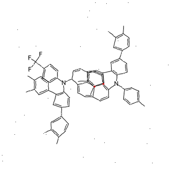 Cc1ccc(N(C2=C3C=CC4=C5C(=CC=C(C=C2)C35)C(N(c2ccc(C(F)(F)F)cc2)c2ccc(-c3ccc(C)c(C)c3)cc2-c2ccc(C)c(C)c2)C=C4)c2ccc(-c3ccc(C)c(C)c3)cc2-c2ccc(C)c(C)c2)cc1